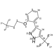 CC(C)(C)CCOc1ccccc1-c1cc(C(F)(F)F)[nH]n1